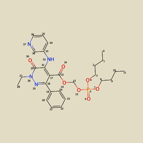 CCCCOP(=O)(OCCCC)OCOC(=O)c1c(-c2ccccc2)nn(CC)c(=O)c1Nc1cccnc1